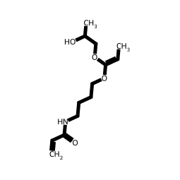 C=CC(=O)NCCCCOC(=CC)OCC(C)O